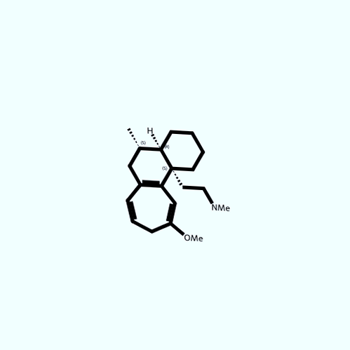 CNCC[C@@]12CCCC[C@@H]1[C@@H](C)CC1=C2C=C(OC)CC=C1